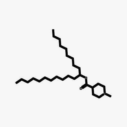 CCCCCCCCCCCC(CCCCCCCCC)OC(=O)C1CCN(C)CC1